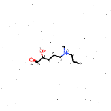 CCCN(C)CCCC(O)C=O